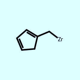 [Zr][CH2]C1=CC=CC1